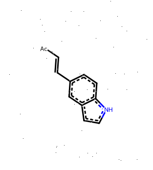 CC(=O)C=Cc1ccc2[nH]ccc2c1